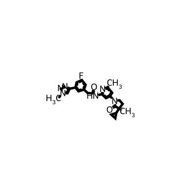 Cc1cc(N2CC[C@@](C)(C3CC3)C2=O)cc(NC(=O)Cc2cc(F)cc(-c3cn(C)nn3)c2)n1